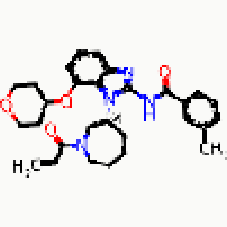 C=CC(=O)N1CCCC[C@@H](n2c(NC(=O)c3cccc(C)c3)nc3cccc(OC4CCOCC4)c32)C1